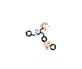 COC(=O)CC(CNCc1ccccc1)Cc1ccc(OS(=O)(=O)c2ccccc2)cc1